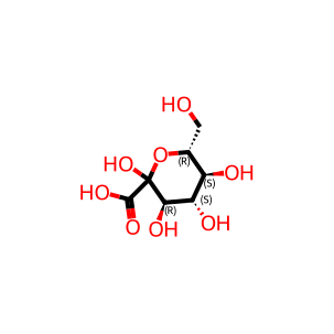 O=C(O)C1(O)O[C@H](CO)[C@@H](O)[C@H](O)[C@H]1O